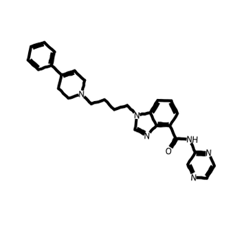 O=C(Nc1cnccn1)c1cccc2c1ncn2CCCCN1CC=C(c2ccccc2)CC1